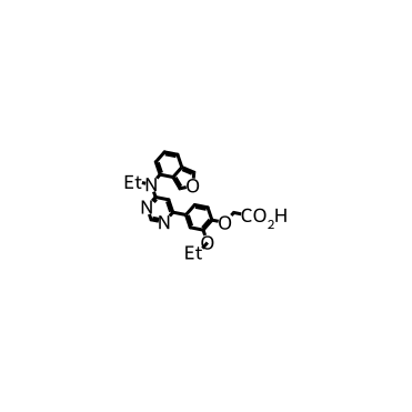 CCOc1cc(-c2cc(N(CC)c3cccc4cocc34)ncn2)ccc1OCC(=O)O